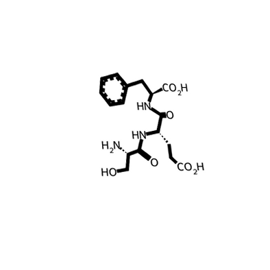 N[C@@H](CO)C(=O)N[C@@H](CCC(=O)O)C(=O)N[C@@H](Cc1ccccc1)C(=O)O